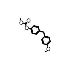 COC(=O)Oc1ccc(Cc2ccc(OC)cc2)cc1